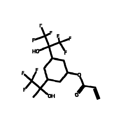 C=CC(=O)OC1CC(C(C)(O)C(F)(F)F)CC(C(O)(C(F)(F)F)C(F)(F)F)C1